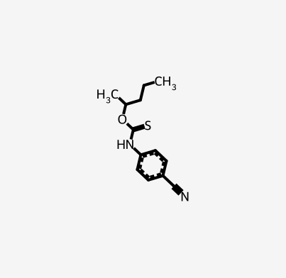 CCCC(C)OC(=S)Nc1ccc(C#N)cc1